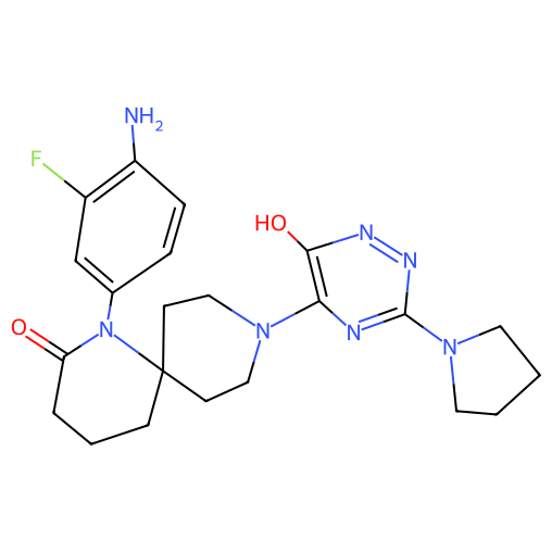 Nc1ccc(N2C(=O)CCCC23CCN(c2nc(N4CCCC4)nnc2O)CC3)cc1F